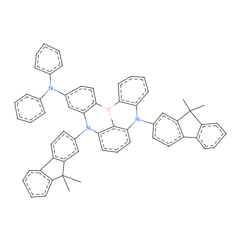 CC1(C)c2ccccc2-c2ccc(N3c4ccccc4B4c5ccc(N(c6ccccc6)c6ccccc6)cc5N(c5ccc6c(c5)C(C)(C)c5ccccc5-6)c5cccc3c54)cc21